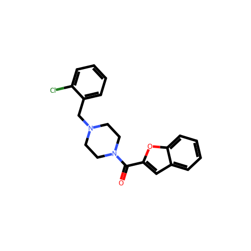 O=C(c1cc2ccccc2o1)N1CCN(Cc2ccccc2Cl)CC1